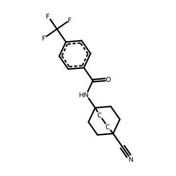 N#CC12CCC(NC(=O)c3ccc(C(F)(F)F)cc3)(CC1)CC2